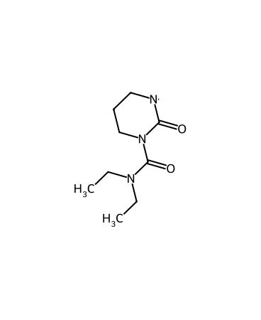 CCN(CC)C(=O)N1CCC[N]C1=O